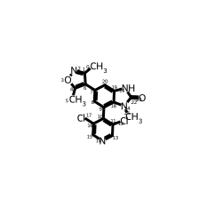 Cc1noc(C)c1-c1cc(-c2c(Cl)cncc2Cl)c2c(c1)[nH]c(=O)n2C